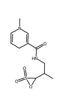 CC(CNC(=O)C1=CN(C)C=CC1)C1OS1(=O)=O